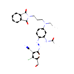 CCN(CCCN1C(=O)c2ccccc2C1=O)c1ccc(/N=N/c2sc(C=O)c(Cl)c2C#N)c(NC(C)=O)c1